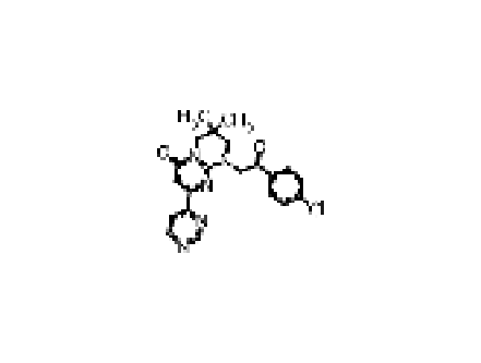 CC1(C)CN(CC(=O)c2ccc(Cl)cc2)c2nc(-c3ccncn3)cc(=O)n2C1